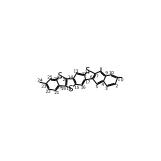 Cc1ccc2cc3c(cc2c1)sc1cc2c(cc13)sc1c3ccc(C)cc3sc21